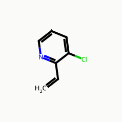 C=Cc1nc[c]cc1Cl